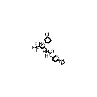 O=C(NCc1cc(C(F)(F)F)nn1-c1cccc(Cl)c1)Nc1ccc(N2CCC2)nc1